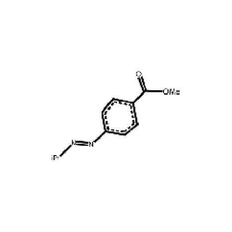 COC(=O)c1ccc(N=NC(C)C)cc1